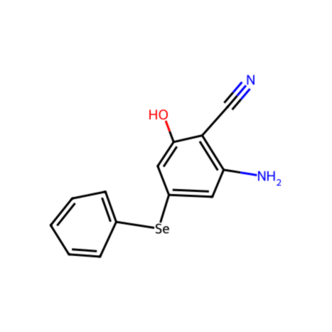 N#Cc1c(N)cc([Se]c2ccccc2)cc1O